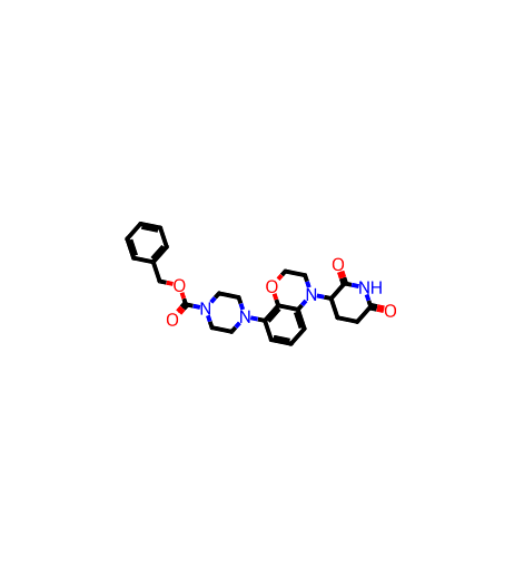 O=C1CCC(N2CCOc3c(N4CCN(C(=O)OCc5ccccc5)CC4)cccc32)C(=O)N1